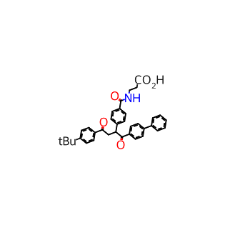 CC(C)(C)c1ccc(C(=O)CC(C(=O)c2ccc(-c3ccccc3)cc2)c2ccc(C(=O)NCCC(=O)O)cc2)cc1